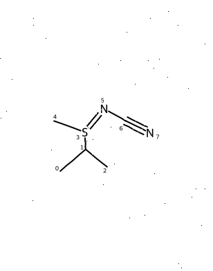 CC(C)/S(C)=N\C#N